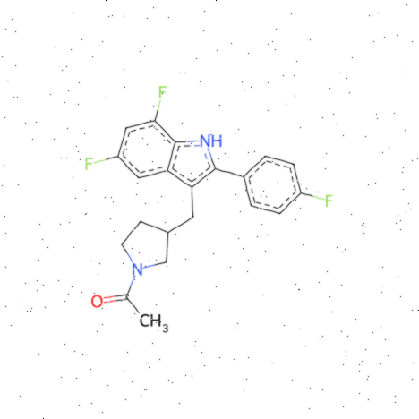 CC(=O)N1CCC(Cc2c(-c3ccc(F)cc3)[nH]c3c(F)cc(F)cc23)C1